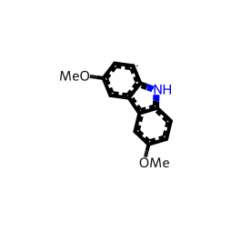 COc1c[c]c2[nH]c3ccc(OC)cc3c2c1